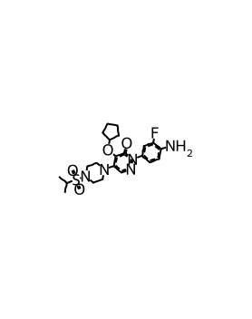 CC(C)S(=O)(=O)N1CCN(c2cnn(-c3ccc(N)c(F)c3)c(=O)c2OC2CCCC2)CC1